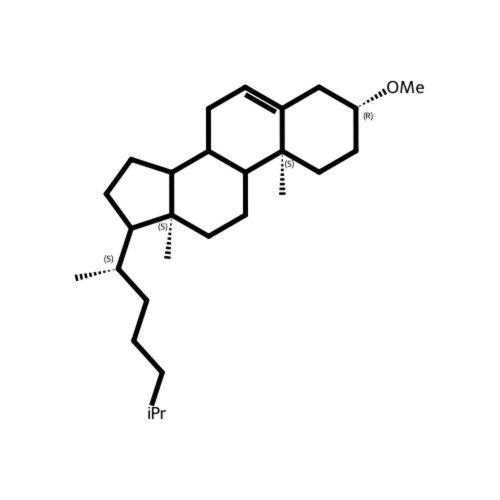 CO[C@@H]1CC[C@]2(C)C(=CCC3C4CCC([C@@H](C)CCCC(C)C)[C@]4(C)CCC32)C1